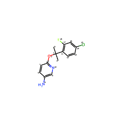 CC(C)(Oc1ccc(N)cn1)c1ccc(Cl)cc1F